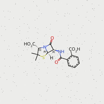 CC1(C)S[C@@H]2[C@H](NC(=O)c3ccccc3C(=O)O)C(=O)N2[C@H]1C(=O)O